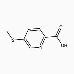 CSc1ccc(C(=O)O)nc1